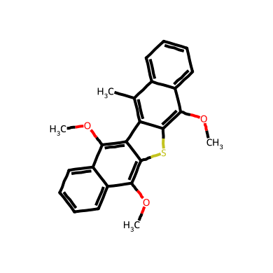 COc1c2ccccc2c(C)c2c1sc1c(OC)c3ccccc3c(OC)c12